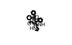 O=C(N[C@@H]1CCCC[C@@H]1C(=O)C1C[C@@H]2[C@H](c3ccc[nH]3)Nc3ccccc3[C@@H]2N1)c1ccccc1